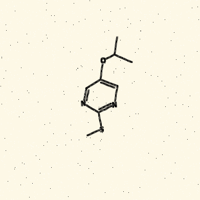 CSc1ncc(OC(C)C)cn1